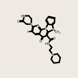 Cn1c2ccccc2n2c3nc(N4CCNC(=O)C4)c(F)cc3c(=O)c(C(=O)NCCN3CCCCC3)c12